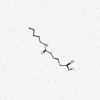 CCCCCNC(=O)CCCCC(N)=O